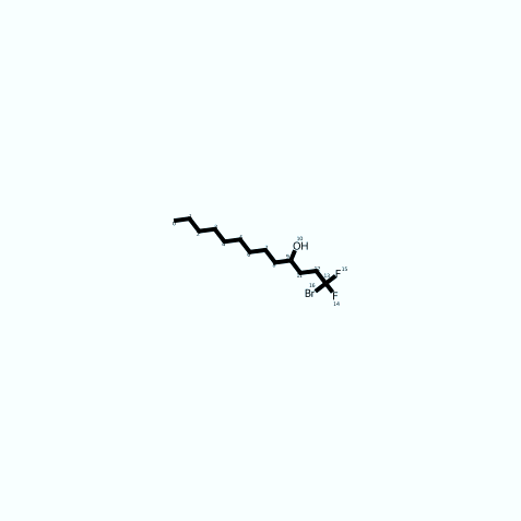 CCCCCCCCCC(O)CCC(F)(F)Br